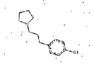 Oc1ccc(CCCN2CCCC2)cc1